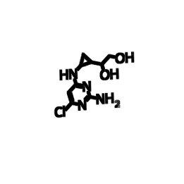 Nc1nc(Cl)cc(NC2CC2C(O)CO)n1